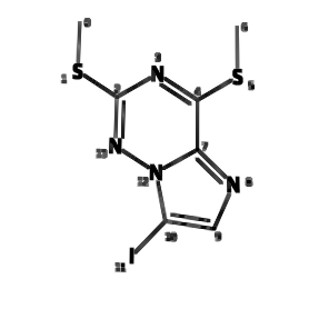 CSc1nc(SC)c2ncc(I)n2n1